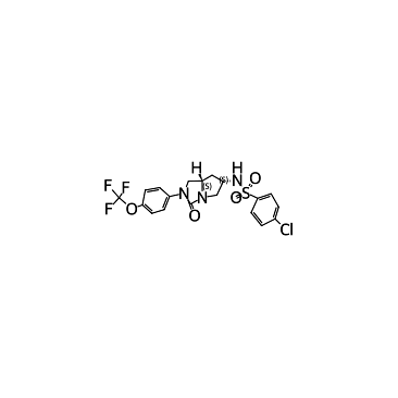 O=C1N(c2ccc(OC(F)(F)F)cc2)C[C@@H]2C[C@H](NS(=O)(=O)c3ccc(Cl)cc3)CN12